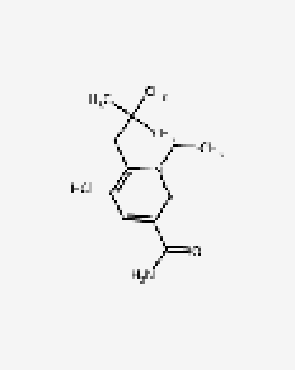 CCN1CC(C(N)=O)=CC=C1CC(C)(C)C.Cl